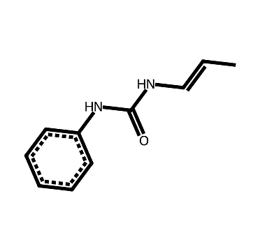 CC=CNC(=O)Nc1ccccc1